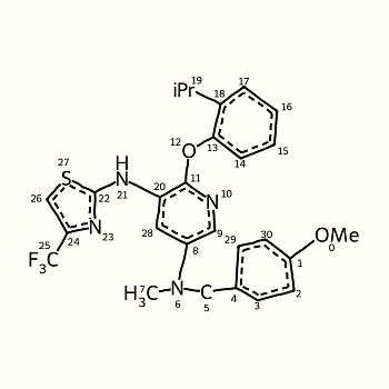 COc1ccc(CN(C)c2cnc(Oc3ccccc3C(C)C)c(Nc3nc(C(F)(F)F)cs3)c2)cc1